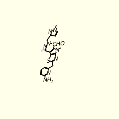 CN(Cc1ccn(C)n1)/N=C\c1c(C=O)n(C)c2nc(Cc3cccc(N)n3)sc12